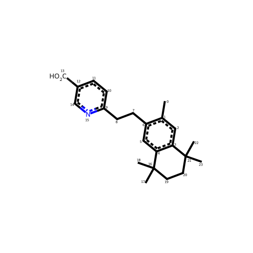 Cc1cc2c(cc1CCc1ccc(C(=O)O)cn1)C(C)(C)CCC2(C)C